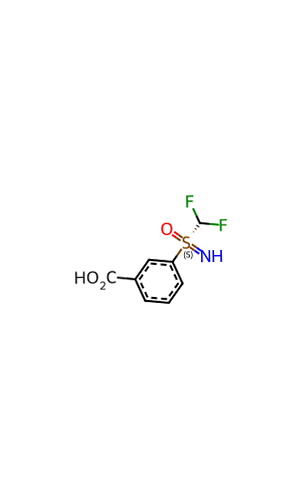 N=[S@](=O)(c1cccc(C(=O)O)c1)C(F)F